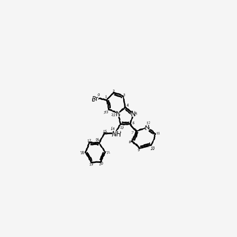 Brc1ccc2nc(-c3ccccn3)c(NCc3ccccc3)n2c1